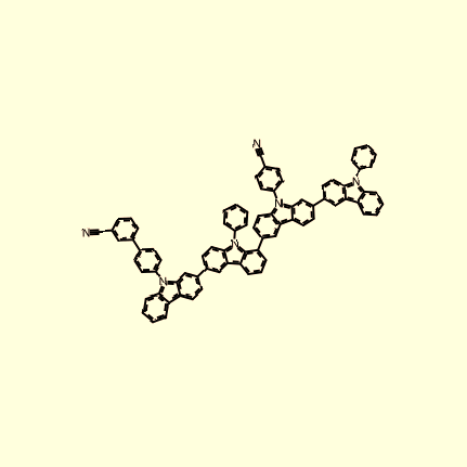 N#Cc1ccc(-n2c3ccc(-c4cccc5c6cc(-c7ccc8c9ccccc9n(-c9ccc(-c%10cccc(C#N)c%10)cc9)c8c7)ccc6n(-c6ccccc6)c45)cc3c3ccc(-c4ccc5c(c4)c4ccccc4n5-c4ccccc4)cc32)cc1